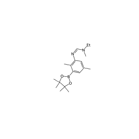 CCN(C)/C=N\c1cc(C)cc(B2OC(C)(C)C(C)(C)O2)c1C